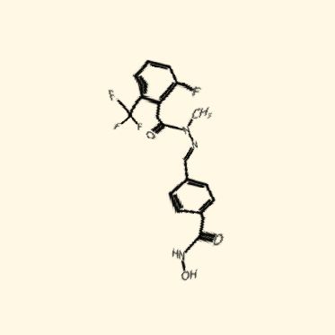 CN(/N=C/c1ccc(C(=O)NO)cc1)C(=O)c1c(F)cccc1C(F)(F)F